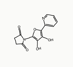 O=C1CCC(=O)N1c1oc(-c2ccccn2)c(O)c1O